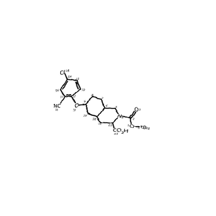 CC(C)(C)OC(=O)N1CC2CCC(Oc3ccc(Cl)cc3C#N)CC2CC1C(=O)O